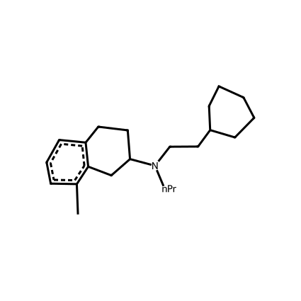 CCCN(CCC1CCCCC1)C1CCc2cccc(C)c2C1